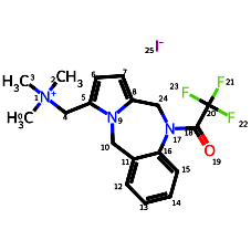 C[N+](C)(C)Cc1ccc2n1Cc1ccccc1N(C(=O)C(F)(F)F)C2.[I-]